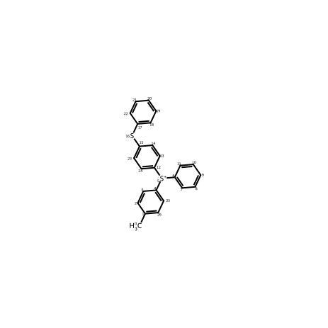 Cc1ccc([S+](c2ccccc2)c2ccc(Sc3ccccc3)cc2)cc1